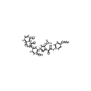 COc1ccc(CNC(=O)n2nc(-c3cc(NC(=O)c4c(Cl)cccc4Cl)ccc3O)cc2C2CC2)cc1